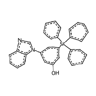 Oc1cc(-n2cnc3ccccc32)cc([Si](c2ccccc2)(c2ccccc2)c2ccccc2)c1